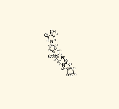 CN1CCN(c2ccc3c(c2)CCN(CC(CN2CCc4ccccc4C2)N=O)C3=O)CC1=O